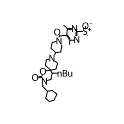 CCCCC1CN(CC2CCCCC2)C(=O)OC12CCN(C1CCN(C(=O)c3c(C)nc([S+](C)[O-])nc3C)CC1)CC2